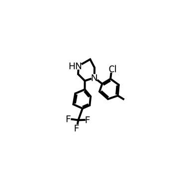 Cc1ccc(N2CCNCC2c2ccc(C(F)(F)F)cc2)c(Cl)c1